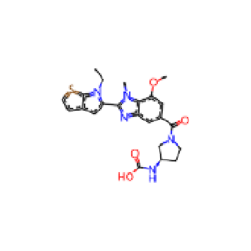 CCn1c(-c2nc3cc(C(=O)N4CC[C@@H](NC(=O)O)C4)cc(OC)c3n2C)cc2ccsc21